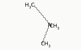 CCCCCCCCCCCCCCCCN(C)CCCCCCCCCCCC